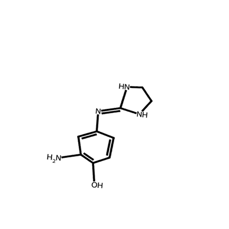 Nc1cc(N=C2NCCN2)ccc1O